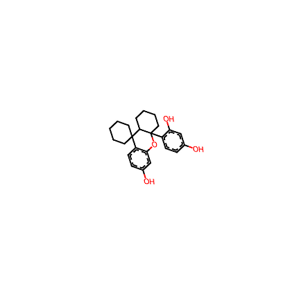 Oc1ccc(C23CCCCC2C2(CCCCC2)c2ccc(O)cc2O3)c(O)c1